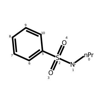 CCC[N]S(=O)(=O)c1ccccc1